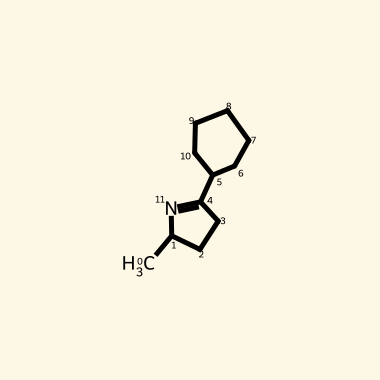 CC1CCC(C2CCCCC2)=N1